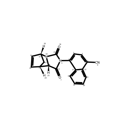 N#Cc1ccc(N2C(=O)[C@@H]3[C@@H]4C=C[C@@H](C4)N3C2=O)c2ccccc12